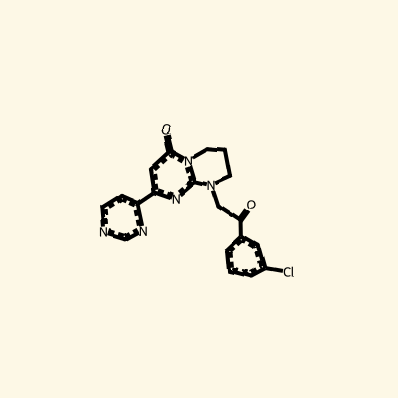 O=C(CN1CCCn2c1nc(-c1ccncn1)cc2=O)c1cccc(Cl)c1